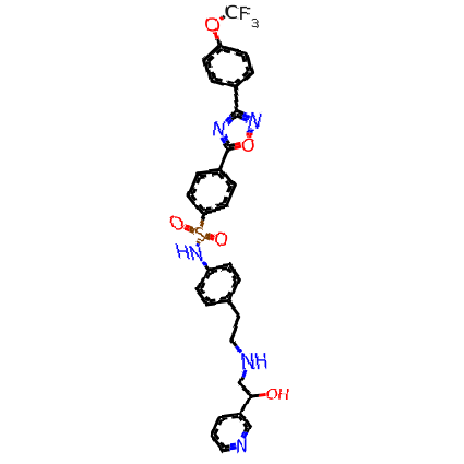 O=S(=O)(Nc1ccc(CCNCC(O)c2cccnc2)cc1)c1ccc(-c2nc(-c3ccc(OC(F)(F)F)cc3)no2)cc1